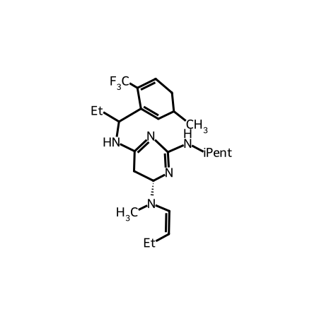 CC/C=C\N(C)[C@@H]1CC(NC(CC)C2=CC(C)CC=C2C(F)(F)F)=NC(NC(C)CCC)=N1